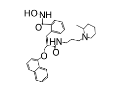 CC1CCCCN1CCCNC(=O)C(=Cc1ccccc1C(=O)NO)COc1cccc2ccccc12